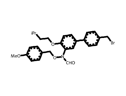 COc1ccc(CON(C=O)c2cc(-c3ccc(CBr)cc3)ccc2OCCC(C)C)cc1